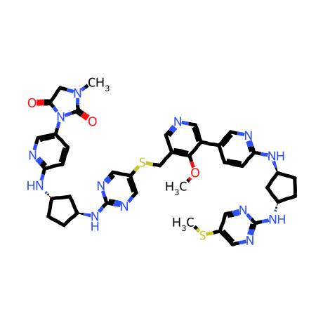 COc1c(CSc2cnc(N[C@H]3CC[C@H](Nc4ccc(N5C(=O)CN(C)C5=O)cn4)C3)nc2)cncc1-c1ccc(N[C@H]2CC[C@H](Nc3ncc(SC)cn3)C2)nc1